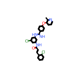 Cc1ncccc1Oc1ccc(C(=N)Nc2cc(Cl)cc(NC(=O)C=Cc3ccccc3Cl)c2)cc1